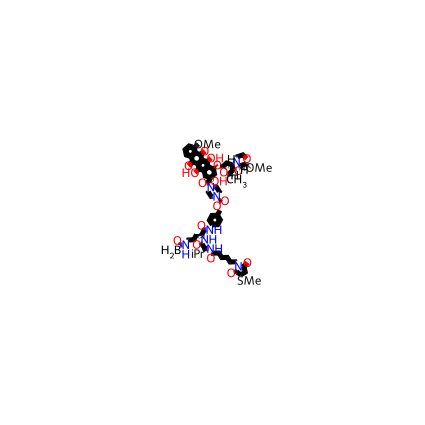 BC(=O)NCCC[C@H](NC(=O)[C@@H](NC(=O)CCCCCN1C(=O)CC(SC)C1=O)C(C)C)C(=O)Nc1ccc(COC(=O)N2CCN(C(=O)[C@]3(O)Cc4c(O)c5c(c(O)c4[C@@H](O[C@H]4C[C@H]6[C@H](O[C@@H]7[C@@H](OC)OCCN76)[C@H](C)O4)C3)C(=O)c3c(OC)cccc3C5=O)CC2)cc1